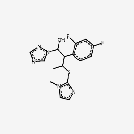 CC(Sc1nccn1C)C(c1ccc(F)cc1F)C(O)n1cncn1